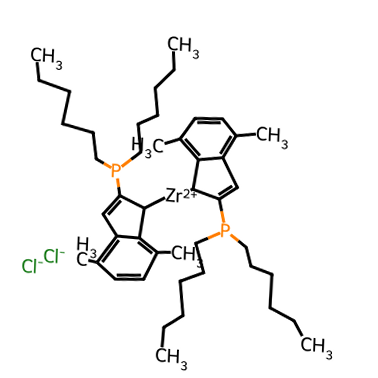 CCCCCCP(CCCCCC)C1=Cc2c(C)ccc(C)c2[CH]1[Zr+2][CH]1C(P(CCCCCC)CCCCCC)=Cc2c(C)ccc(C)c21.[Cl-].[Cl-]